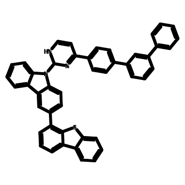 C1=CC(c2ccc(-c3cccc(-c4ccccc4)c3)cc2)=NC(n2c3ccccc3c3cc(-c4cccc5c4sc4ccccc45)ccc32)N1